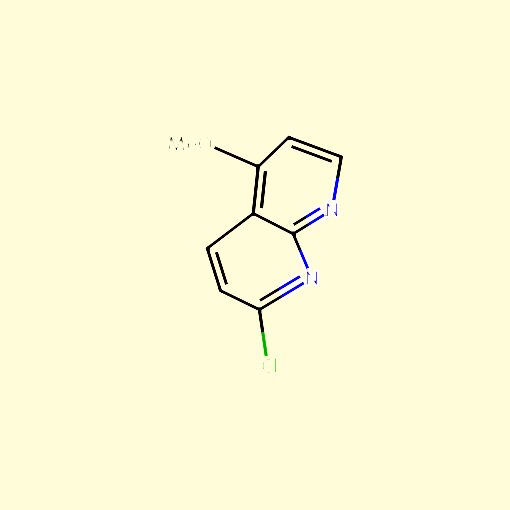 COc1ccnc2nc(Cl)ccc12